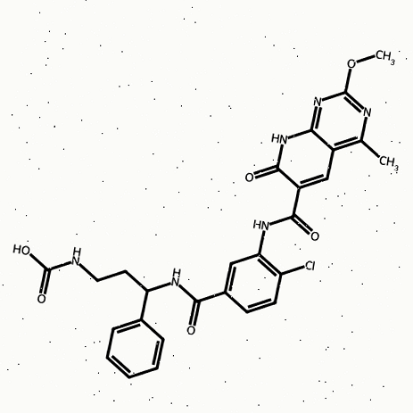 COc1nc(C)c2cc(C(=O)Nc3cc(C(=O)NC(CCNC(=O)O)c4ccccc4)ccc3Cl)c(=O)[nH]c2n1